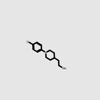 OCCC1CCN(c2[c]cc(Cl)cc2)CC1